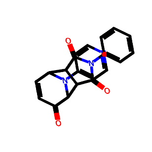 O=C1C=CC2C3C(=O)N(c4ccccc4)C(=O)C3C1N2c1ccncc1